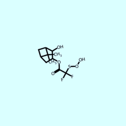 CC1(C)C2CC(OC(=O)C(F)(F)SOO)C(O)C1C2